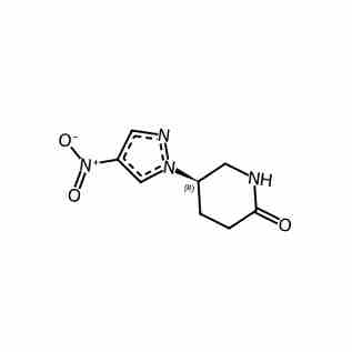 O=C1CC[C@@H](n2cc([N+](=O)[O-])cn2)CN1